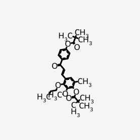 CCCOc1c(C=CC(=O)c2ccc(OC(=O)C(C)(C)C)cc2)cc(C)c(OC(=O)C(C)(C)C)c1OC